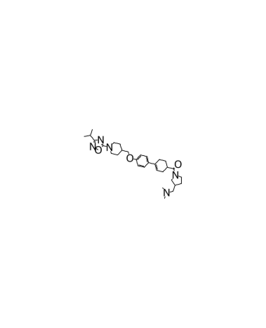 CC(C)c1noc(N2CCC(COc3ccc(C4=CCC(C(=O)N5CCC(CN(C)C)C5)CC4)cc3)CC2)n1